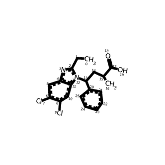 CCc1nc2cc(Cl)c(Cl)cc2n1C(CC(C)C(=O)O)c1ccccc1